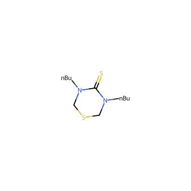 CCCCN1CSCN(CCCC)C1=S